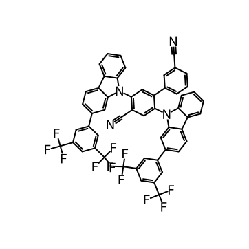 N#Cc1cccc(-c2cc(-n3c4ccccc4c4ccc(-c5cc(C(F)(F)F)cc(C(F)(F)F)c5)cc43)c(C#N)cc2-n2c3ccccc3c3ccc(-c4cc(C(F)(F)F)cc(C(F)(F)F)c4)cc32)c1